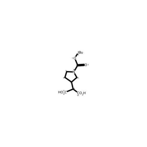 CC(C)(C)OC(=O)N1CCC(C(C(=O)O)C(=O)O)C1